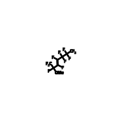 COC(F)(C(F)=C(F)C(F)(F)C(F)(F)C(F)(F)F)C(F)(F)F